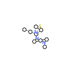 c1ccc(-c2ccc(-c3cc(-n4c5ccccc5c5cc6c(cc54)c4ccccc4n6-c4ccccc4)cc(-c4cccc5sc6ccccc6c45)n3)cc2)cc1